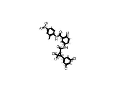 Cc1cc([N+](=O)[O-])ccc1NC(=O)c1cc(NC(=O)C2C(c3cc(Cl)cc(Cl)c3)C2(Cl)Cl)ccc1Cl